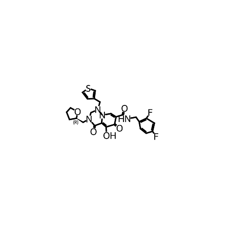 O=C(NCc1ccc(F)cc1F)c1cn2c(c(O)c1=O)C(=O)N(C[C@H]1CCCO1)CN2Cc1ccsc1